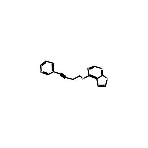 C(#Cc1cccnc1)CCNc1ncnc2sccc12